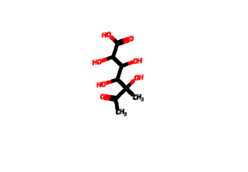 CC(=O)C(C)(O)C(O)C(O)C(O)C(=O)O